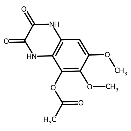 COc1cc2[nH]c(=O)c(=O)[nH]c2c(OC(C)=O)c1OC